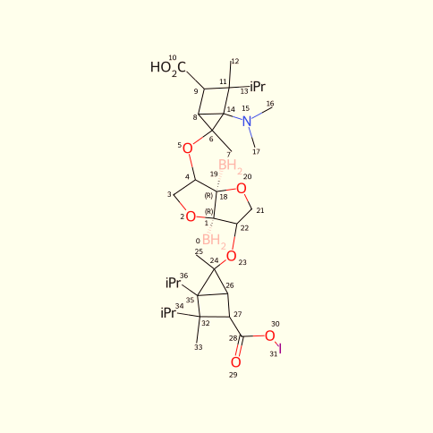 B[C@]12OCC(OC3(C)C4C(C(=O)O)C(C)(C(C)C)C43N(C)C)[C@@]1(B)OCC2OC1(C)C2C(C(=O)OI)C(C)(C(C)C)C21C(C)C